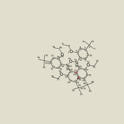 CCOc1cc(C(C)(C)C)ccc1[SiH](O[SiH](c1ccc(C(C)(C)C)cc1OCC)c1ccc(C(C)(C)C)cc1OCC)c1ccc(C(C)(C)C)cc1OCC